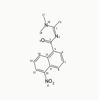 CC(=NC(=O)c1cccc2c([N+](=O)[O-])cccc12)N(C)C